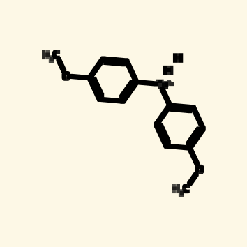 COc1ccc([Te+]c2ccc(OC)cc2)cc1.I.I